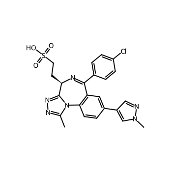 Cc1nnc2n1-c1ccc(-c3cnn(C)c3)cc1C(c1ccc(Cl)cc1)=N[C@@H]2CCS(=O)(=O)O